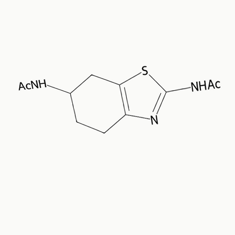 CC(=O)Nc1nc2c(s1)CC(NC(C)=O)CC2